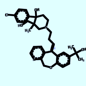 CC(C)(O)c1ccc2c(c1)/C(=C/CCN1CCC(O)(c3ccc(Cl)cc3)C(C)(CO)C1)c1cccnc1CO2